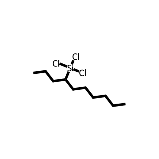 CCCCCCC(CCC)[Si](Cl)(Cl)Cl